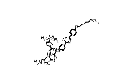 CCCCCCCOc1ccc(-c2cnc(-c3ccc(C[C@H](NC(=O)c4ccc(C(C)(C)C)s4)C(=O)N[C@@H](CCCN)C(=O)O)cc3)nc2)cc1